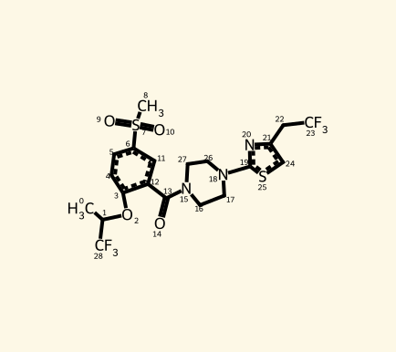 CC(Oc1ccc(S(C)(=O)=O)cc1C(=O)N1CCN(c2nc(CC(F)(F)F)cs2)CC1)C(F)(F)F